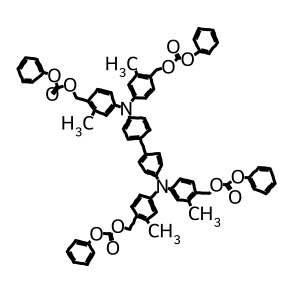 Cc1cc(N(c2ccc(-c3ccc(N(c4ccc(COC(=O)Oc5ccccc5)c(C)c4)c4ccc(COC(=O)Oc5ccccc5)c(C)c4)cc3)cc2)c2ccc(COC(=O)Oc3ccccc3)c(C)c2)ccc1COC(=O)Oc1ccccc1